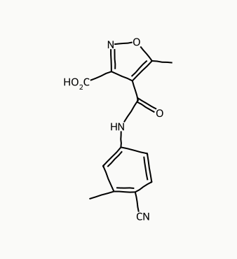 Cc1cc(NC(=O)c2c(C(=O)O)noc2C)ccc1C#N